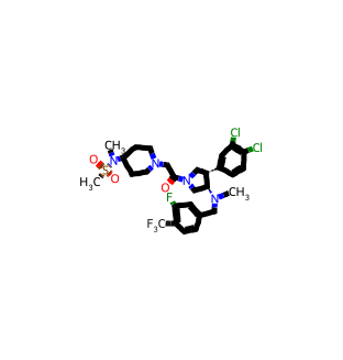 CN(Cc1ccc(C(F)(F)F)c(F)c1)[C@@H]1CN(C(=O)CN2CCC(N(C)S(C)(=O)=O)CC2)C[C@@H]1c1ccc(Cl)c(Cl)c1